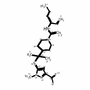 C=C/C(=C\CC)NC(=C)N1CCC(C(C)(C)Sc2cc(C(F)F)nn2C)CC1